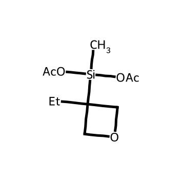 CCC1([Si](C)(OC(C)=O)OC(C)=O)COC1